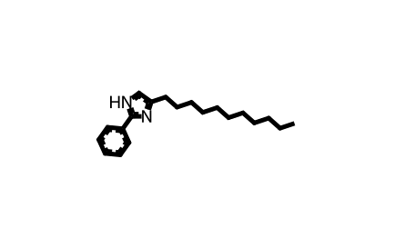 CCCCCCCCCCCc1c[nH]c(-c2ccccc2)n1